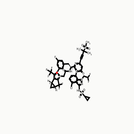 CC(C)(C#Cc1cc(=O)n(-c2ccc(Cl)c3c(NS(=O)(=O)C4CC4)nn(CC(F)F)c23)c([C@H](Cc2cc(F)cc(F)c2)NC(=O)Cn2nc(C(F)(F)F)c3c2C(F)(F)[C@@H]2C[C@H]32)n1)S(C)(=O)=O